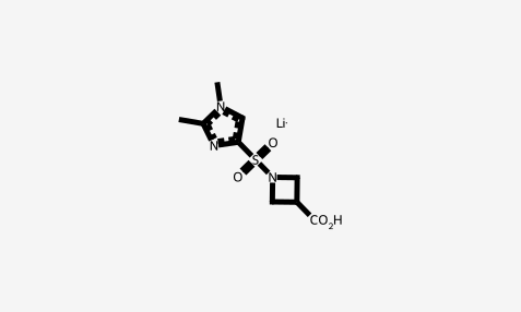 Cc1nc(S(=O)(=O)N2CC(C(=O)O)C2)cn1C.[Li]